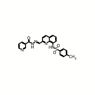 Cc1ccc(S(=O)(=O)Nc2cccc3ccc(/C=N/NC(=O)c4cccnc4)nc23)cc1